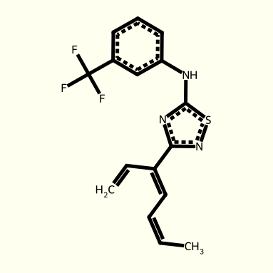 C=C/C(=C\C=C/C)c1nsc(Nc2cccc(C(F)(F)F)c2)n1